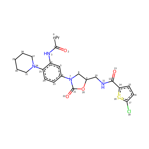 CCCC(=O)Nc1cc(N2CC(CNC(=O)c3ccc(Cl)s3)OC2=O)ccc1N1CCCCC1